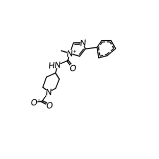 C[N+]1(C(=O)NC2CCN(C(=O)[O-])CC2)C=NC(c2ccccc2)=C1